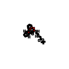 CC(C)(C)OC(=O)CNCCNc1nc2ccccc2n([C@H]2C[C@H]3CC[C@@H](C2)N3C2CCCCCCC2)c1=O